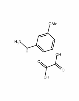 COc1cccc(NN)c1.O=C(O)C(=O)O